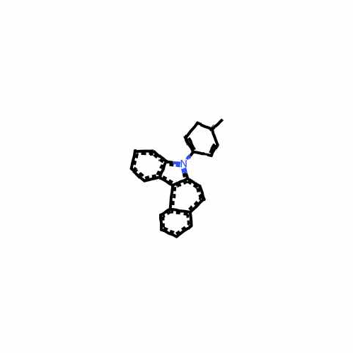 CC1C=CC(n2c3ccccc3c3c4ccccc4ccc32)=CC1